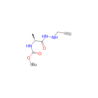 C#CCNNC(=O)[C@H](C)NC(=O)OC(C)(C)C